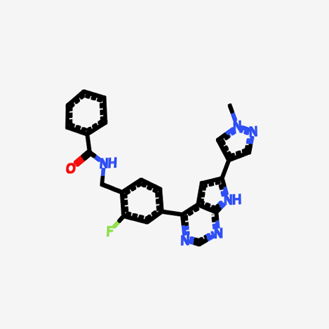 Cn1cc(-c2cc3c(-c4ccc(CNC(=O)c5ccccc5)c(F)c4)ncnc3[nH]2)cn1